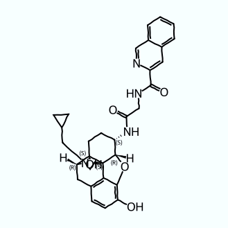 O=C(CNC(=O)c1cc2ccccc2cn1)N[C@H]1CC[C@@]2(O)[C@H]3Cc4ccc(O)c5c4[C@@]2(CCN3CC2CC2)[C@H]1O5